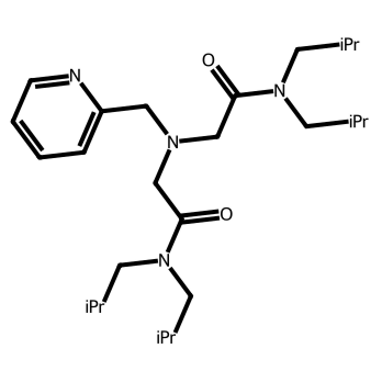 CC(C)CN(CC(C)C)C(=O)CN(CC(=O)N(CC(C)C)CC(C)C)Cc1ccccn1